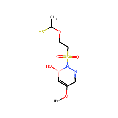 CC(C)OC1=CB(O)N(S(=O)(=O)CCOC(C)S)N=C1